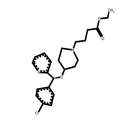 CCOC(=O)CCCN1CCC(O[C@@H](c2ccc(Cl)cc2)c2ccccn2)CC1